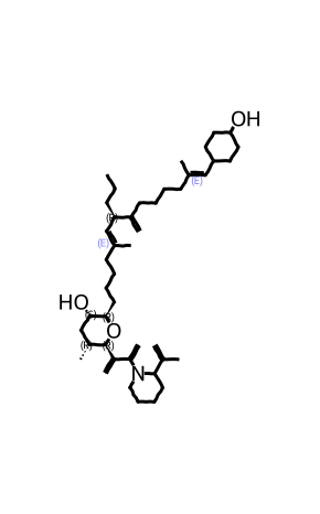 C=C(C)C1CCCCN1C(=C)C(=C)[C@@H]1O[C@H](CCCC/C(C)=C/[C@@H](CCC)C(=C)CCCC/C(C)=C/C2CCC(O)CC2)[C@@H](O)C[C@H]1C